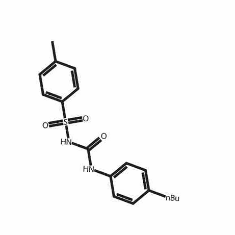 CCCCc1ccc(NC(=O)NS(=O)(=O)c2ccc(C)cc2)cc1